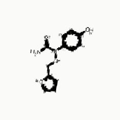 NC(=O)N(OCc1ccco1)c1ccc(O)cc1